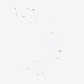 CC(C)(Oc1ccc(F)cc1Cl)C(=O)N1CCN(S(=O)(=O)c2ccc3c(c2)CCO3)CC1